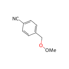 COOCc1ccc(C#N)cc1